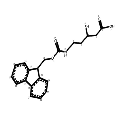 O=C(O)CC(S)CCNC(=O)OCC1c2ccccc2-c2ccccc21